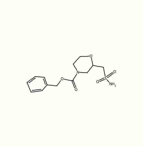 NS(=O)(=O)CC1CN(C(=O)OCc2ccccc2)CCO1